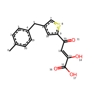 Cc1ccc(Cc2csc(C(=O)C=C(O)C(=O)O)c2)cc1